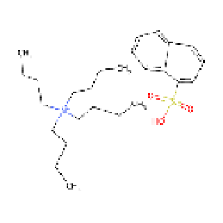 CCCC[N+](CCCC)(CCCC)CCCC.O=S(=O)(O)c1cccc2ccccc12